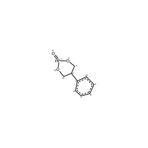 O=[PH]1OCC(c2ccccc2)CO1